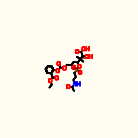 CCOC(=O)c1ccccc1OC(=O)OCCCC(OS(=O)(=O)CCCNC(C)=O)C(C)(C)[C@@H](O)C(=O)O